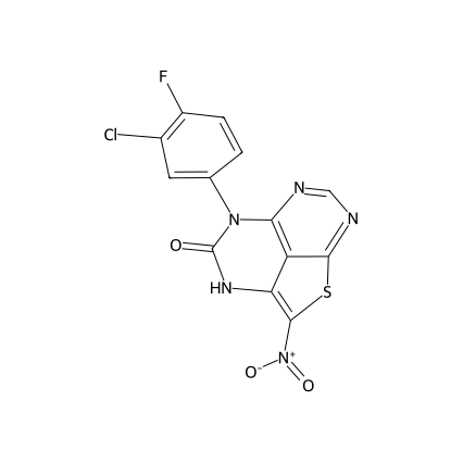 O=C1Nc2c([N+](=O)[O-])sc3ncnc(c23)N1c1ccc(F)c(Cl)c1